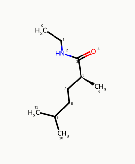 CCNC(=O)[C@@H](C)CCC(C)C